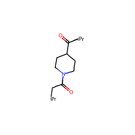 CC(C)CC(=O)N1CCC(C(=O)C(C)C)CC1